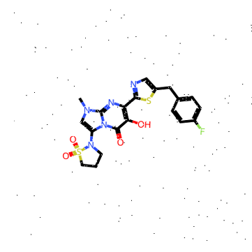 Cn1cc(N2CCCS2(=O)=O)n2c(=O)c(O)c(-c3ncc(Cc4ccc(F)cc4)s3)nc12